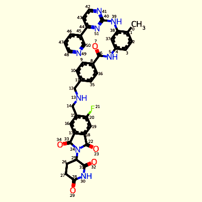 Cc1ccc(NC(=O)c2ccc(CNCc3cc4c(cc3F)C(=O)N(C3CCC(=O)NC3=O)C4=O)cc2)cc1Nc1nccc(-c2cccnc2)n1